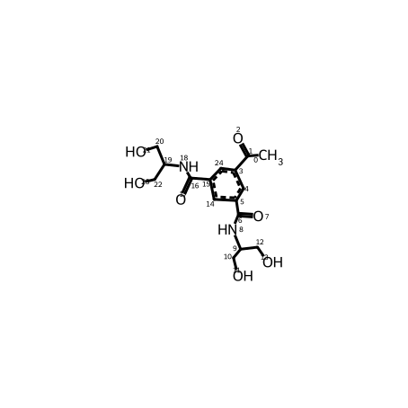 CC(=O)c1cc(C(=O)NC(CO)CO)cc(C(=O)NC(CO)CO)c1